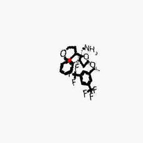 C[C@@H](O[C@@H]1C[C@H](c2ccccc2)[C@@](CN)(C2CCOCC2)O1)c1cc(C(F)(F)F)cc(C(F)(F)F)c1